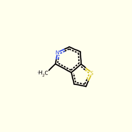 [CH2]c1nccc2sccc12